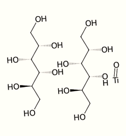 OC[C@@H](O)[C@@H](O)[C@H](O)[C@@H](O)CO.OC[C@@H](O)[C@@H](O)[C@H](O)[C@@H](O)CO.[O]=[Ti]